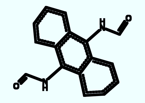 O=CNc1c2ccccc2c(NC=O)c2ccccc12